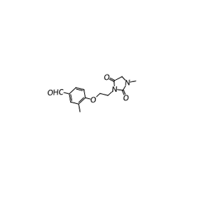 Cc1cc(C=O)ccc1OCCN1C(=O)CN(C)C1=O